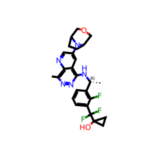 Cc1nnc(N[C@H](C)c2cccc(C(F)(F)C3(O)CC3)c2F)c2cc(N3C4CCC3COC4)cnc12